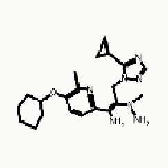 Cc1nc(/C(N)=C(\Cn2ncnc2C2CC2)N(C)N)ccc1OC1CCCCC1